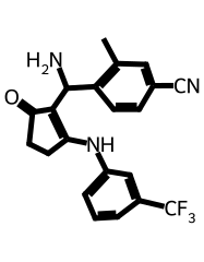 Cc1cc(C#N)ccc1C(N)C1=C(Nc2cccc(C(F)(F)F)c2)CCC1=O